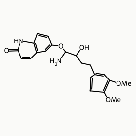 COc1ccc(CCC(O)C(N)Oc2ccc3[nH]c(=O)ccc3c2)cc1OC